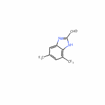 O=[C]c1nc2cc(C(F)(F)F)cc(C(F)(F)F)c2[nH]1